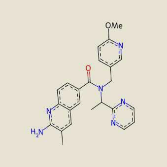 COc1ccc(CN(C(=O)c2ccc3nc(N)c(C)cc3c2)C(C)c2ncccn2)cn1